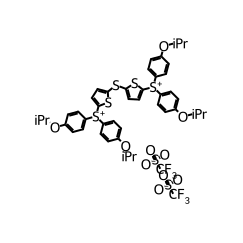 CC(C)Oc1ccc([S+](c2ccc(OC(C)C)cc2)c2ccc(Sc3ccc([S+](c4ccc(OC(C)C)cc4)c4ccc(OC(C)C)cc4)s3)s2)cc1.O=S(=O)([O-])C(F)(F)F.O=S(=O)([O-])C(F)(F)F